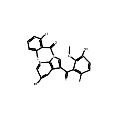 COc1c(N)ccc(F)c1C(=O)c1cn(C(=O)c2c(Cl)cccc2Cl)c2ncc(Br)cc12